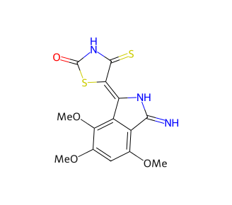 COc1cc(OC)c2c(c1OC)C(=C1SC(=O)NC1=S)NC2=N